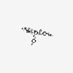 CCCCOc1ccc(NC(=O)c2cnc(OC(=O)NC(=O)CN)c(OCc3ccc(F)cc3)c2)cc1